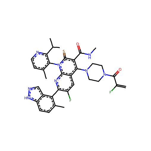 C=C(F)C(=O)N1CCN(c2c(C(=O)NC)c(=S)n(-c3c(C)ccnc3C(C)C)c3nc(-c4c(C)ccc5[nH]ncc45)c(F)cc23)CC1